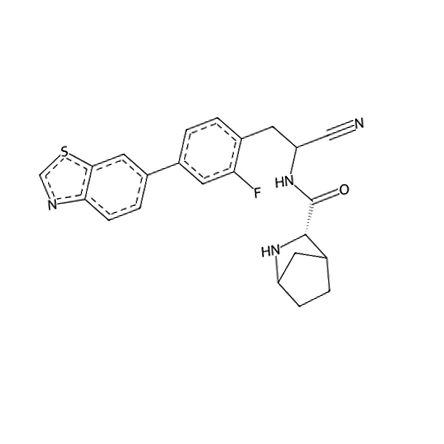 N#CC(Cc1ccc(-c2ccc3ncsc3c2)cc1F)NC(=O)[C@H]1NC2CCC1C2